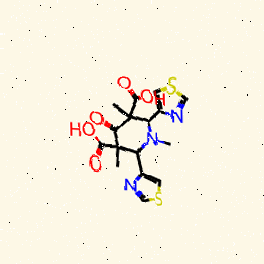 CN1C(c2cscn2)C(C)(C(=O)O)C(=O)C(C)(C(=O)O)C1c1cscn1